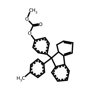 COC(=O)Oc1ccc(C2(c3ccc(C)cc3)c3ccccc3C3=CC=CCC32)cc1